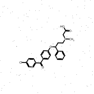 CN(CCC(Oc1ccc(C(=O)c2ccc(Cl)cc2)cc1)c1ccccc1)CC(=O)O